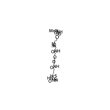 CNNS(=O)(=O)c1ccc(CCc2cn(CCNC(=O)CCOCCOCCNC(=O)CCCC[C@@H]3SC[C@@H]4NC(=O)N[C@@H]43)nn2)cc1